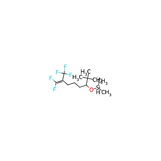 C[SiH](C)OC(CCCC(=C(F)F)C(F)(F)F)C(C)(C)C